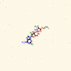 CCOC(=O)C(C)NP1(=O)OCC2O[C@@H](n3cnc4c(N)nc(Cl)nc43)[C@@H](F)[C@@H]2O1